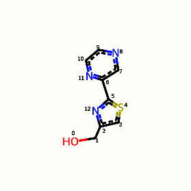 OCc1csc(-c2cnccn2)n1